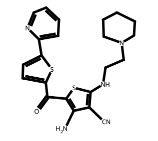 N#Cc1c(NCCN2CCCCC2)sc(C(=O)c2ccc(-c3ccccn3)s2)c1N